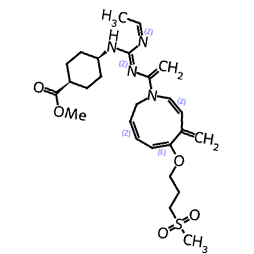 C=C1/C=C\N(C(=C)/N=C(\N=C/C)N[C@H]2CC[C@@H](C(=O)OC)CC2)C/C=C\C=C/1OCCCS(C)(=O)=O